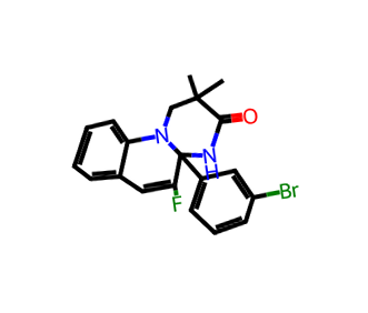 CC1(C)CN2c3ccccc3C=C(F)C2(c2cccc(Br)c2)NC1=O